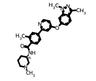 Cc1cc(-c2cc(Oc3ccc4c(C)nn(C)c4c3)ccn2)ccc1C(=O)N[C@@H]1CCCN(C)C1